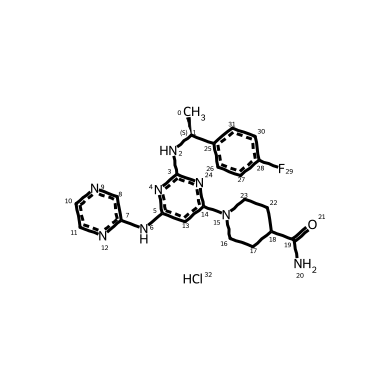 C[C@H](Nc1nc(Nc2cnccn2)cc(N2CCC(C(N)=O)CC2)n1)c1ccc(F)cc1.Cl